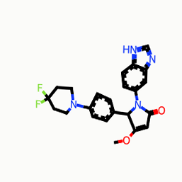 COC1=CC(=O)N(c2ccc3[nH]cnc3c2)C1c1ccc(N2CCC(F)(F)CC2)cc1